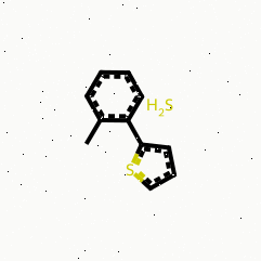 Cc1ccccc1-c1cccs1.S